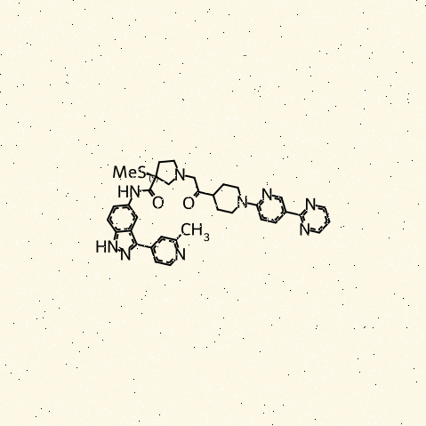 CS[C@@]1(C(=O)Nc2ccc3[nH]nc(-c4ccnc(C)c4)c3c2)CCN(CC(=O)C2CCN(c3ccc(-c4ncccn4)cn3)CC2)C1